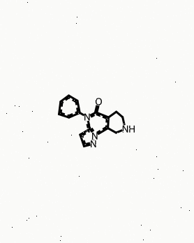 O=c1c2c(n3nccc3n1-c1ccccc1)CNCC2